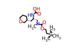 CN(C[C@H](C[C@H]1CCCOC1)NC(=O)O)C(=O)OCC[Si](C)(C)C